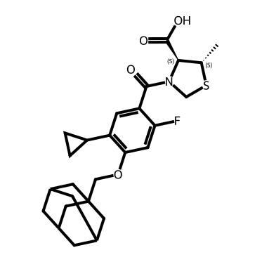 C[C@@H]1SCN(C(=O)c2cc(C3CC3)c(OCC34CC5CC(CC(C5)C3)C4)cc2F)[C@H]1C(=O)O